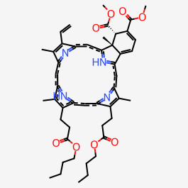 C=CC1=C(C)c2cc3[nH]c(cc4nc(cc5[nH]c(cc1n2)[C@@]1(C)C5=CC=C(C(=O)OC)[C@H]1C(=O)OC)C(C)=C4CCC(=O)OCCCC)c(CCC(=O)OCCCC)c3C